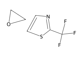 C1CO1.FC(F)(F)c1nccs1